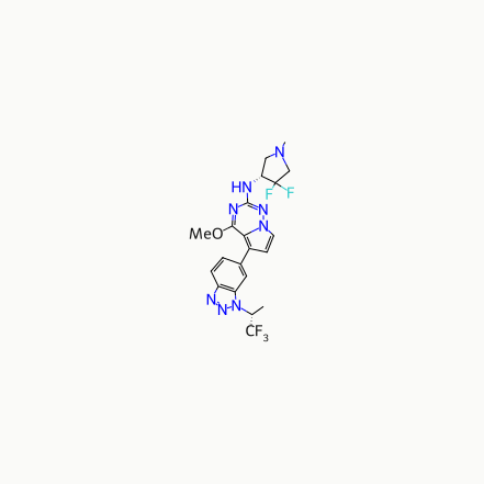 COc1nc(N[C@@H]2CN(C)CC2(F)F)nn2ccc(-c3ccc4nnn([C@H](C)C(F)(F)F)c4c3)c12